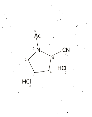 CC(=O)N1CCCC1C#N.Cl.Cl